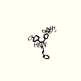 NS(=O)(=O)c1ccc(-c2nc(C=Cc3ccccc3)[nH]c2-c2ccc(Cl)cc2)cc1